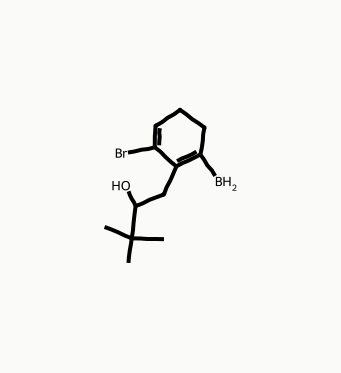 BC1=C(CC(O)C(C)(C)C)C(Br)=CCC1